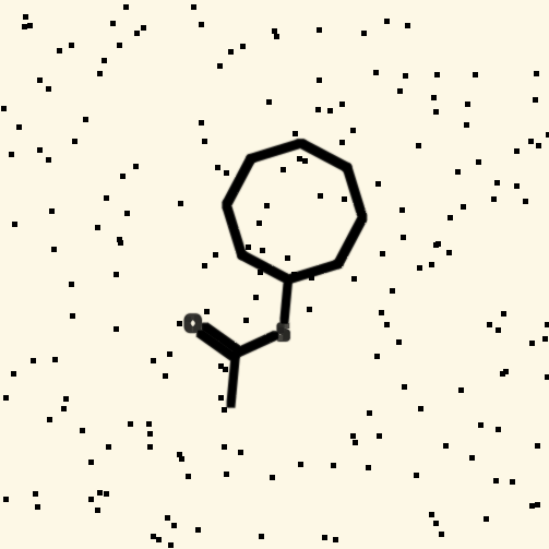 CC(=O)SC1CCCCCCC1